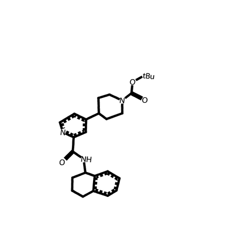 CC(C)(C)OC(=O)N1CCC(c2ccnc(C(=O)NC3CCCc4ccccc43)c2)CC1